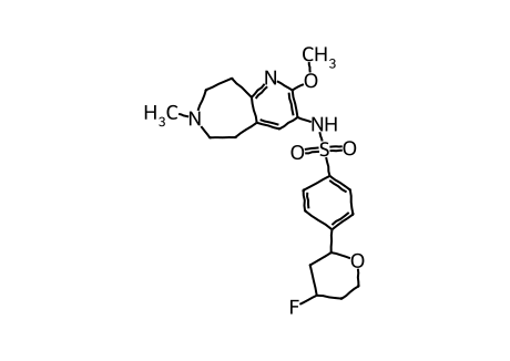 COc1nc2c(cc1NS(=O)(=O)c1ccc(C3CC(F)CCO3)cc1)CCN(C)CC2